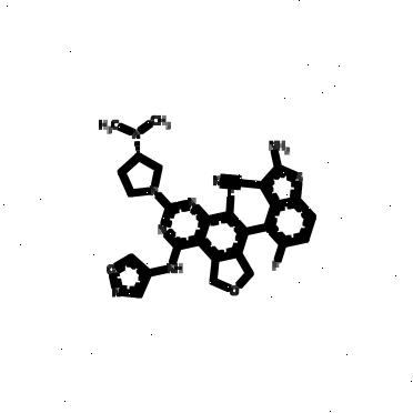 CN(C)[C@H]1CCN(c2nc(Nc3cnoc3)c3c4c(c(-c5c(F)ccc6sc(N)c(C#N)c56)c(F)c3n2)COC4)C1